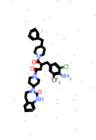 Nc1c(Cl)cc(CC(CC(=O)N2CCC(N3CCc4ccccc4NC3=O)CC2)C(=O)N2CCC(Cc3ccccc3)CC2)cc1C(F)(F)F